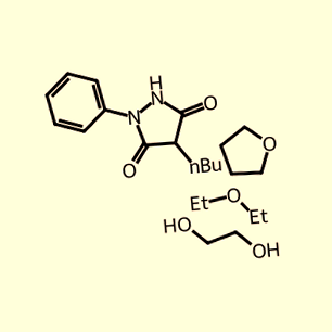 C1CCOC1.CCCCC1C(=O)NN(c2ccccc2)C1=O.CCOCC.OCCO